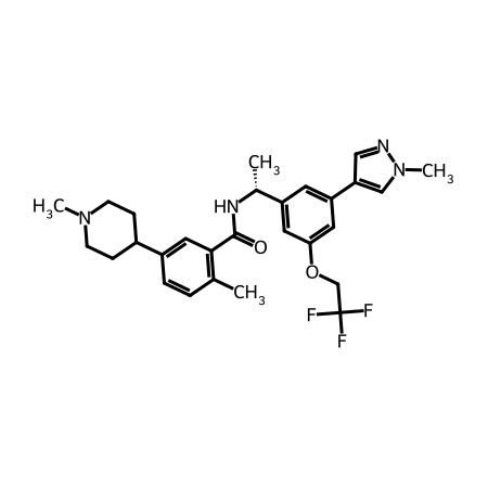 Cc1ccc(C2CCN(C)CC2)cc1C(=O)N[C@H](C)c1cc(OCC(F)(F)F)cc(-c2cnn(C)c2)c1